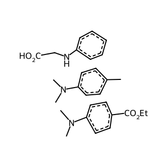 CCOC(=O)c1ccc(N(C)C)cc1.Cc1ccc(N(C)C)cc1.O=C(O)CNc1ccccc1